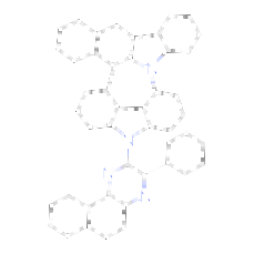 c1ccc(-c2nc3ccc4ccccc4c3nc2-n2c3cccc4c3c3c2cccc3n2c3ccccc3c3cc5ccccc5c4c32)cc1